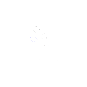 CCCCCN(Cc1ccc(-c2ccccc2-c2nnn[nH]2)cc1)C(=O)[C@@H](N)CC(=O)OC